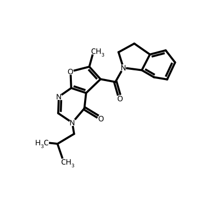 Cc1oc2ncn(CC(C)C)c(=O)c2c1C(=O)N1CCc2ccccc21